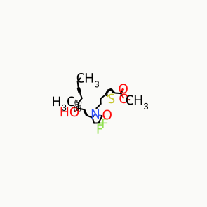 CCC#CC[C@H](C)[C@H](O)C=CC1CC(F)(F)C(=O)N1CCCc1ccc(C(=O)OC)s1